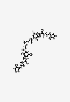 CN(CCCNC1=CC(=O)c2sc(C(=O)NCCCN3CCCC3=O)nc2C1=O)CCCNC1=CC(=O)c2sc(C(=O)NCCCN3CCCC3=O)nc2C1=O